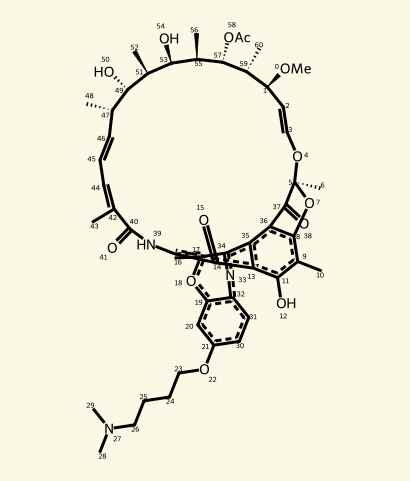 CO[C@H]1/C=C/O[C@@]2(C)Oc3c(C)c(O)c4c(=O)c(c5oc6cc(OCCCCN(C)C)ccc6nc-5c4c3C2=O)NC(=O)/C(C)=C\C=C\[C@H](C)[C@H](O)[C@@H](C)[C@@H](O)[C@@H](C)[C@H](OC(C)=O)[C@@H]1C